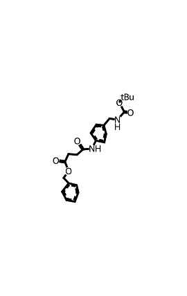 CC(C)(C)OC(=O)NCc1ccc(NC(=O)CCC(=O)OCc2ccccc2)cc1